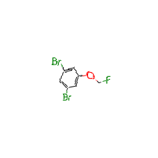 FCOc1cc(Br)cc(Br)c1